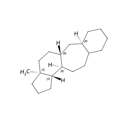 C[C@@]12CCC[C@H]1[C@@H]1CCC3CCCC[C@@H]3C[C@H]1CC2